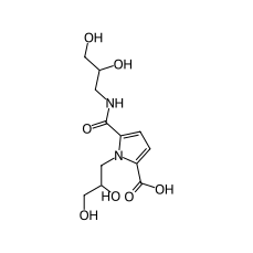 O=C(O)c1ccc(C(=O)NCC(O)CO)n1CC(O)CO